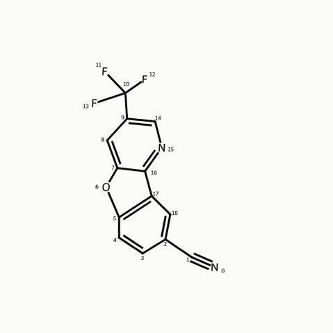 N#Cc1ccc2oc3cc(C(F)(F)F)cnc3c2c1